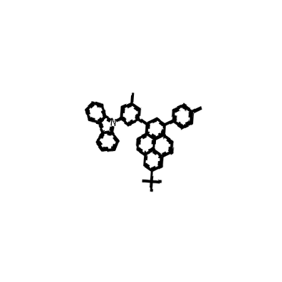 Cc1ccc(-c2cc(-c3cc(C)cc(-n4c5ccccc5c5ccccc54)c3)c3ccc4cc(C(C)(C)C)cc5ccc2c3c54)cc1